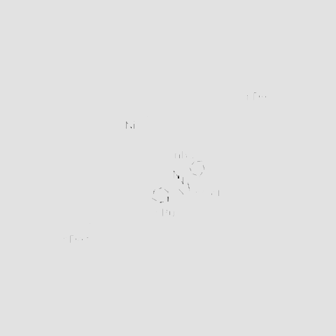 CCCCCCCCC1=C(c2cccc(CCCC)c2)[N+](=[N-])C(c2cccc(CCCC)c2)=C1.CCCCCCCCCCCCCCCCCCCCCCCCC[CH2][Ni][CH2]CCCCCCCCCCCCCCCCCCCCCCCCC